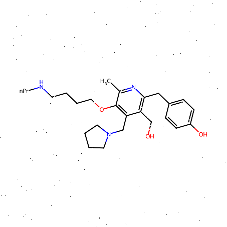 CCCNCCCCOc1c(C)nc(Cc2ccc(O)cc2)c(CO)c1CN1CCCC1